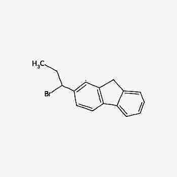 CCC(Br)c1[c]c2c(cc1)-c1ccccc1C2